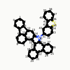 c1ccc2c(c1)-c1cccc3c1c-2cc1c3c2c3ccccc3c3ccccc3c2n1-c1ccc2sc3ccccc3c2c1